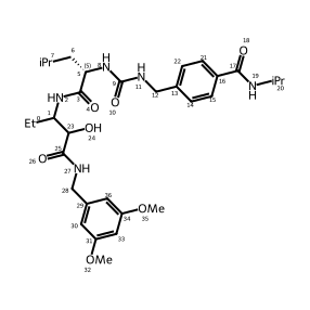 CCC(NC(=O)[C@H](CC(C)C)NC(=O)NCc1ccc(C(=O)NC(C)C)cc1)C(O)C(=O)NCc1cc(OC)cc(OC)c1